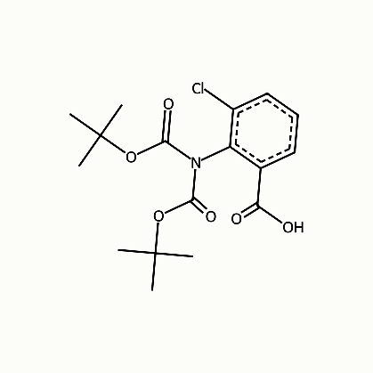 CC(C)(C)OC(=O)N(C(=O)OC(C)(C)C)c1c(Cl)cccc1C(=O)O